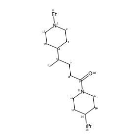 CCN1CCC(C(C)CCC(=O)N2CCC(C(C)C)CC2)CC1